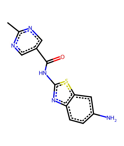 Cc1ncc(C(=O)Nc2nc3ccc(N)cc3s2)cn1